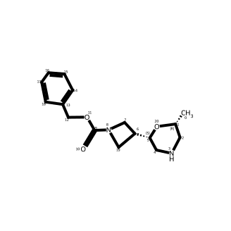 C[C@@H]1CNC[C@H](C2CN(C(=O)OCc3ccccc3)C2)O1